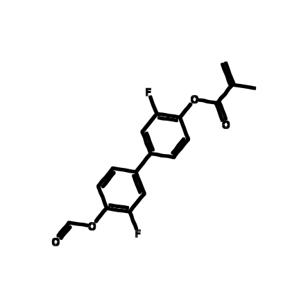 C=C(C)C(=O)Oc1ccc(-c2ccc(OC=O)c(F)c2)cc1F